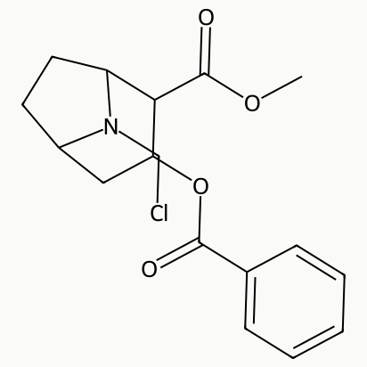 COC(=O)C1C(OC(=O)c2ccccc2)CC2CCC1N2CCl